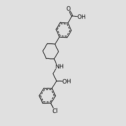 O=C(O)c1ccc(C2CCCC(NCC(O)c3cccc(Cl)c3)C2)cc1